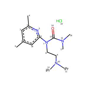 Cc1cc(C)nc(N(CCN(C(C)C)C(C)C)C(=O)N(C)C)c1.Cl